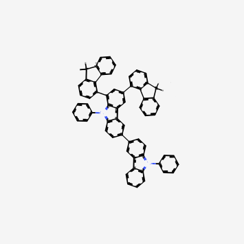 CC1(C)c2ccccc2-c2c(-c3cc(-c4cccc5c4-c4ccccc4C5(C)C)c4c(c3)c3cc(-c5ccc6c(c5)c5ccccc5n6-c5ccccc5)ccc3n4-c3ccccc3)cccc21